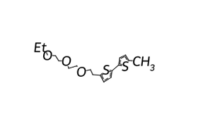 CCOCCOCCOCCc1ccc(-c2ccc(C)s2)s1